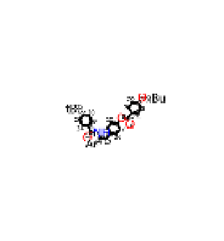 CCCCOc1ccc(C(=O)Oc2ccc(C[C@H](NC(=O)c3ccc(C(C)(C)C)cc3)C(C)=O)cc2)cc1